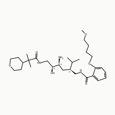 COCCCCOc1ccccc1C(=O)NC[C@@H](C[C@H](N)[C@@H](O)CNC(=O)C(C)(C)C1CCOCC1)C(C)C